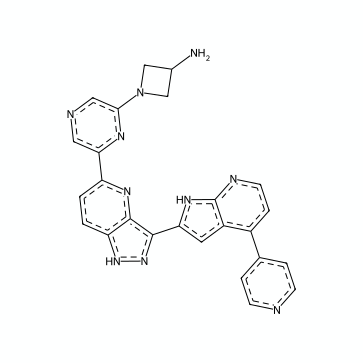 NC1CN(c2cncc(-c3ccc4[nH]nc(-c5cc6c(-c7ccncc7)ccnc6[nH]5)c4n3)n2)C1